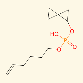 C=CCCCCOP(=O)(O)OC1CC12CC2